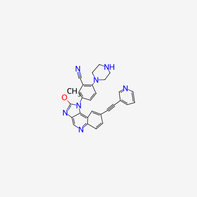 COc1nc2cnc3ccc(C#Cc4cccnc4)cc3c2n1-c1ccc(N2CCNCC2)c(C#N)c1